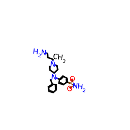 CC(CCN)N1CCC(N(Cc2ccccc2)c2ccc(S(N)(=O)=O)cc2)CC1